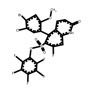 COc1cc(Br)c(Cl)cc1-c1c(S(=O)(=O)Oc2c(F)c(F)c(F)c(F)c2F)c(F)cc2[nH]c(=O)ccc12